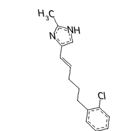 Cc1nc(C=CCCCc2ccccc2Cl)c[nH]1